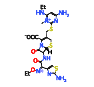 CCNc1cc(N)nc(SCC2=C(C(=O)[O-])N3C(=O)C(NC(=O)/C(=N\OCC)c4csc(N)n4)[C@H]3SC2)[n+]1C